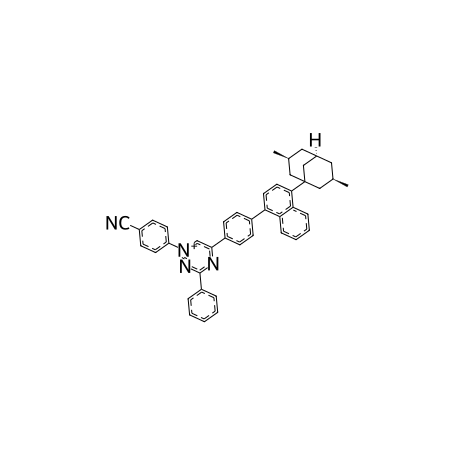 C[C@@H]1C[C@@H]2C[C@H](C)CC(c3ccc(-c4ccc(-c5c[n+](-c6ccc(C#N)cc6)nc(-c6ccccc6)n5)cc4)c4ccccc34)(C1)C2